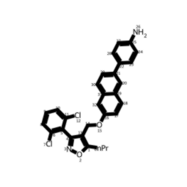 CCCc1onc(-c2c(Cl)cccc2Cl)c1COc1ccc2cc(-c3ccc(N)cc3)ccc2c1